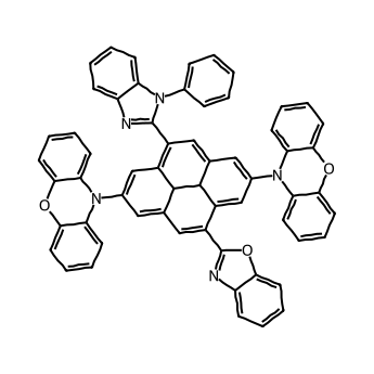 C1=C(c2nc3ccccc3o2)C2=CC(N3c4ccccc4Oc4ccccc43)=CC3=CC(c4nc5ccccc5n4-c4ccccc4)=C4C=C(N5c6ccccc6Oc6ccccc65)C=C1C4C32